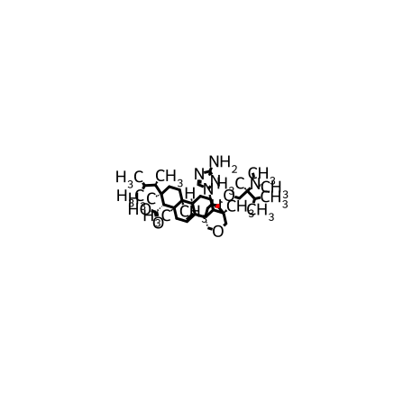 CC(C)[C@@H](C)[C@@]1(C)CC[C@]2(C)[C@H]3CC[C@@H]4[C@@]5(COC[C@@]4(C)[C@@H](OC[C@](C)(C(C)C)N(C)C)[C@H](n4cnc(N)n4)C5)C3=CC[C@@]2(C)[C@@H]1C(=O)O